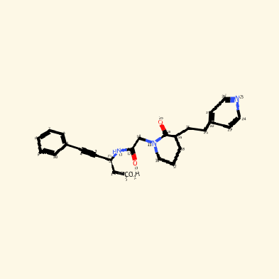 O=C(O)C[C@@H](C#Cc1ccccc1)NC(=O)CN1CCCC(CCc2ccncc2)C1=O